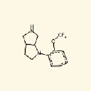 FC(F)(F)Oc1ccccc1N1CCC2CNCC21